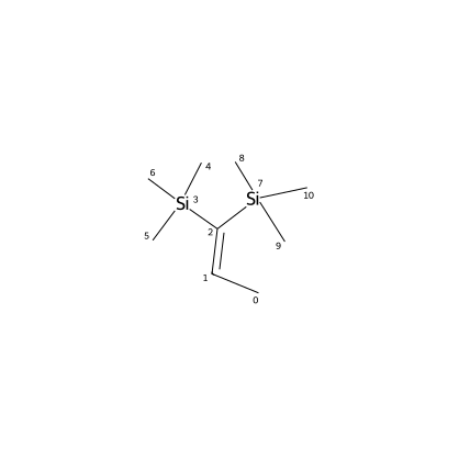 CC=C([Si](C)(C)C)[Si](C)(C)C